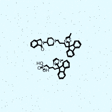 Cc1cnc(C2(CCCCN3CCC(N4Cc5ccccc5C4=O)CC3)c3ccccc3-c3ccccc32)s1.Cn1ccnc1C1(CCCCP(=O)(O)O)c2ccccc2-c2ccccc21